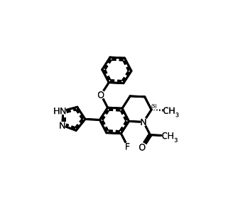 CC(=O)N1c2c(F)cc(-c3cn[nH]c3)c(Oc3ccccc3)c2CC[C@@H]1C